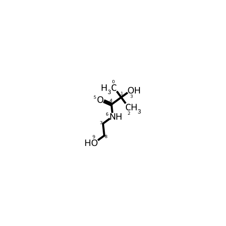 CC(C)(O)C(=O)NCCO